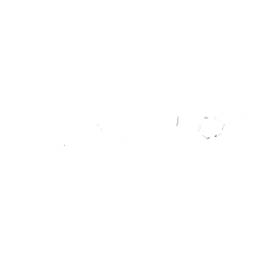 CCCc1ccc(OC(=O)C2CCC(CC/C=C/C3CCC(CCCF)C(F)(F)C3)CC2)cc1